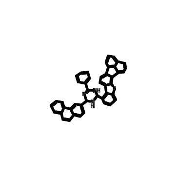 c1ccc(C2=NC(c3ccc4ccc5ccccc5c4c3)NC(c3cccc4sc5c6c(ccc5c34)-c3cccc4cccc-6c34)N2)cc1